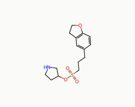 O=S(=O)(CCCc1ccc2c(c1)CCO2)OC1CCNC1